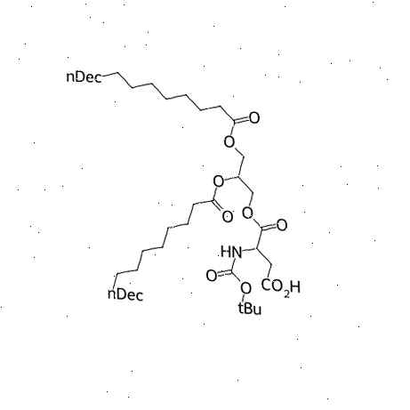 CCCCCCCCCCCCCCCCCC(=O)OCC(COC(=O)C(CC(=O)O)NC(=O)OC(C)(C)C)OC(=O)CCCCCCCCCCCCCCCCC